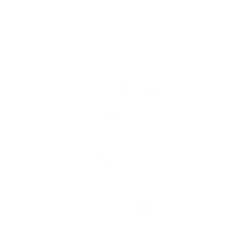 C=C1CSCC(OC(=O)c2ccccc2)SC1